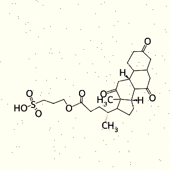 C[C@H](CCC(=O)OCCCS(=O)(=O)O)C1CC[C@H]2C3C(=O)CC4CC(=O)CCC4[C@H]3CC(=O)C12C